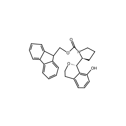 O=C(OCC1c2ccccc2-c2ccccc21)N1CCC[C@H]1[C@H]1OCCc2cccc(O)c21